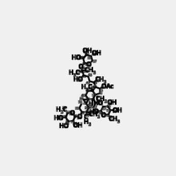 CC(=O)O[C@H]1C[C@@]2(C)[C@@H]3C[C@H](O[C@@H]4O[C@@H](C)[C@H](O)[C@@H](O)[C@H]4O)[C@H]4C(C)(C)[C@@H](O[C@@H]5O[C@@H](C)[C@H](O)[C@@H](O)[C@H]5O)CC[C@@]45C[C@@]35CC[C@]2(C)[C@H]1[C@H](C)CC[C@@H](O)C(C)(C)O[C@@H]1OC[C@@H](O)[C@H](O)[C@H]1O